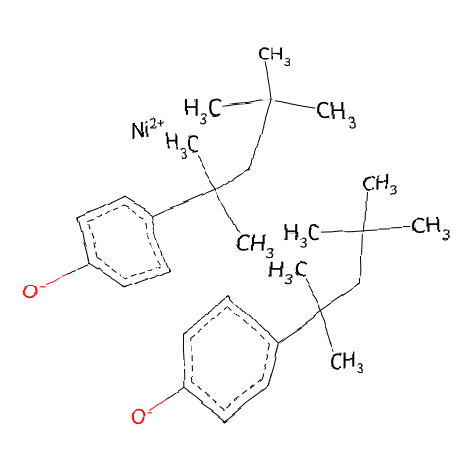 CC(C)(C)CC(C)(C)c1ccc([O-])cc1.CC(C)(C)CC(C)(C)c1ccc([O-])cc1.[Ni+2]